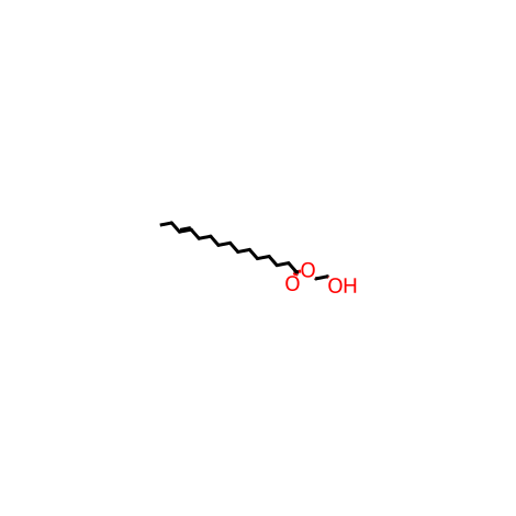 CCC=CCCCCCCCCCCC(=O)OCCO